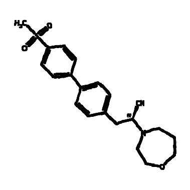 CS(=O)(=O)c1ccc(-c2ccc(C[C@@H](C#N)N3CCCOCC3)cc2)cc1